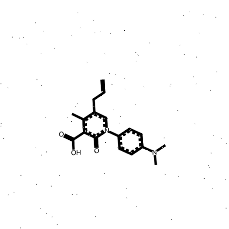 C=CCc1cn(-c2ccc(N(C)C)cc2)c(=O)c(C(=O)O)c1C